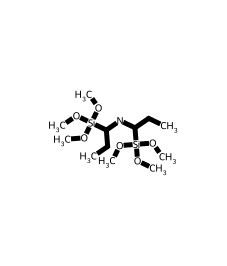 CCC([N]C(CC)[Si](OC)(OC)OC)[Si](OC)(OC)OC